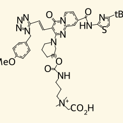 COc1ccc(Cn2nnnc2C=Cc2c(N3CCC[C@@H](OC(=O)NCCC[N+](C)(C)CC(=O)O)C3)nc3cc(C(=O)Nc4nc(C(C)(C)C)cs4)ccn3c2=O)cc1